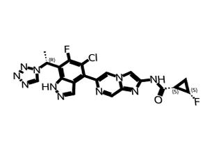 C[C@H](c1c(F)c(Cl)c(-c2cn3cc(NC(=O)[C@@H]4C[C@@H]4F)nc3cn2)c2cn[nH]c12)n1cnnn1